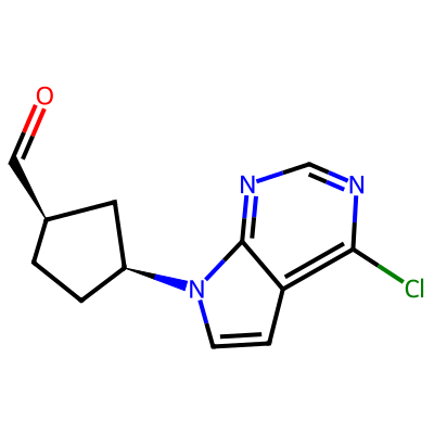 O=C[C@@H]1CC[C@H](n2ccc3c(Cl)ncnc32)C1